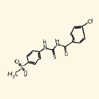 CS(=O)(=O)c1ccc(NC(=S)NC(=O)c2ccc(Cl)cc2)cc1